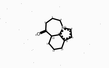 O=C1CCCn2ccc3c2C1CCC3